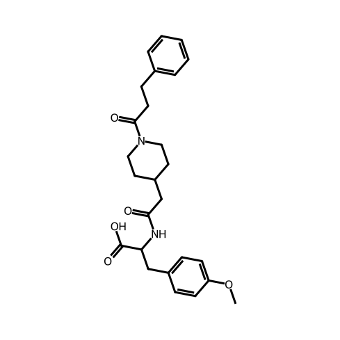 COc1ccc(CC(NC(=O)CC2CCN(C(=O)CCc3ccccc3)CC2)C(=O)O)cc1